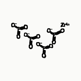 O=P(=O)[O-].O=P(=O)[O-].O=P(=O)[O-].O=P(=O)[O-].[Zr+4]